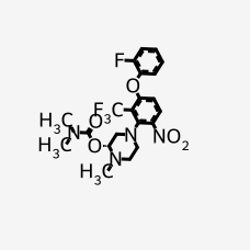 CN(C)C(=O)O[C@@H]1CN(c2c([N+](=O)[O-])ccc(Oc3ccccc3F)c2C(F)(F)F)CCN1C